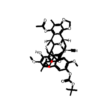 C=CCN1C2c3c(cc(C)c(OC)c3O)CC1[C@H](C#N)N1C2[C@@H]2SC[C@]3(NCCc4cc(OC(=O)OC(C)(C)C)c(OC)cc43)C(=O)OC[C@H]1c1c3c(c(C)c(OC(C)=O)c12)OCO3